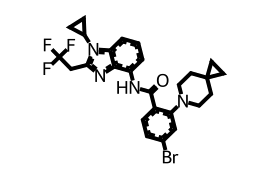 O=C(Nc1cccc2c1nc(CC(F)(F)F)n2C1CC1)c1ccc(Br)cc1N1CCC2(CC1)CC2